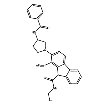 CCCCCc1c(N2CCC(NC(=O)c3ccccc3)C2)ccc2c1C(C(=O)NCC(F)(F)F)c1ccccc1-2